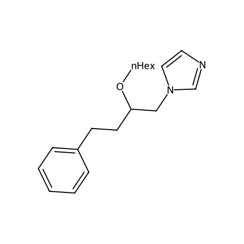 CCCCCCOC(CCc1ccccc1)Cn1ccnc1